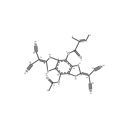 C/C=C(\C)C(=O)Oc1c2c(c(OC(C)=O)c3c1SC(=C(C#N)C#N)S3)SC(=C(C#N)C#N)S2